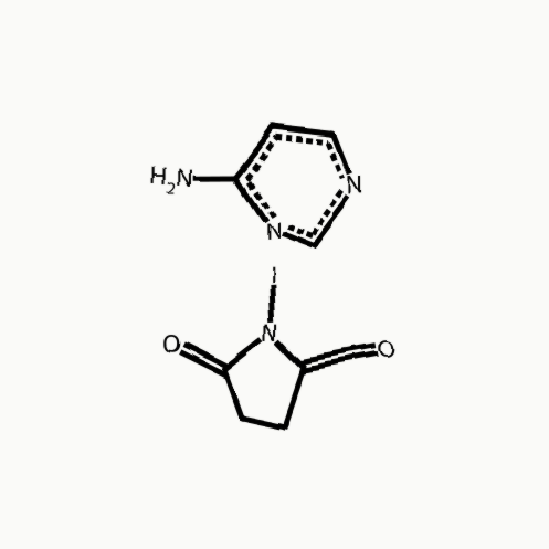 Nc1ccncn1.O=C1CCC(=O)N1I